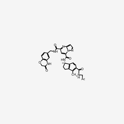 CC(=O)CNC(=O)c1ccc2c(c1C)CC[C@@H]2NC(=O)c1cc(C(=O)NCc2ccc3c(c2)NC(=O)CO3)nc2ccnn12